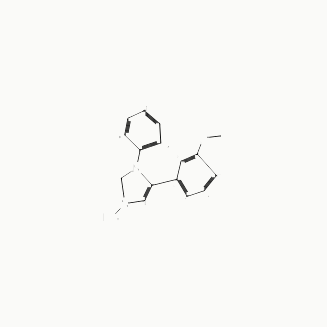 COc1cccc(C2=CN(Br)CN2c2ccccc2)c1